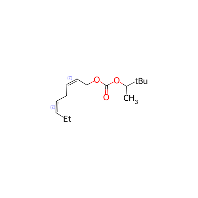 CC/C=C\C/C=C\COC(=O)OC(C)C(C)(C)C